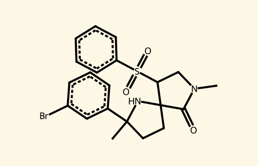 CN1CC(S(=O)(=O)c2ccccc2)C2(CCC(C)(c3cccc(Br)c3)N2)C1=O